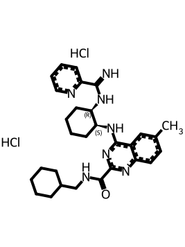 Cc1ccc2nc(C(=O)NCC3CCCCC3)nc(N[C@H]3CCCC[C@H]3NC(=N)c3ccccn3)c2c1.Cl.Cl